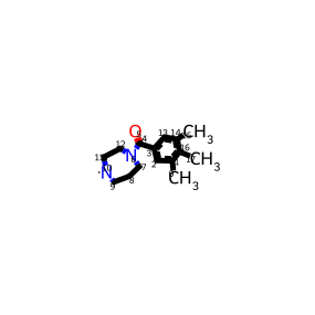 Cc1cc(C(=O)N2CCC[N]CC2)cc(C)c1C